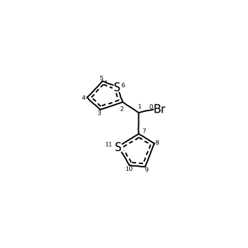 BrC(c1cc[c]s1)c1cccs1